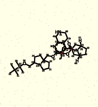 CC(C)(C)OC(=O)N1[C@@H]2CC[C@H]1CN(c1nc(OCC34CCCN3C(CO[Si](C)(C)C(C)(C)C)CC4)nc3c1CCNC3)C2